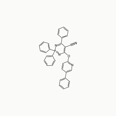 N#CC1=C(Oc2ccc(-c3ccccc3)cn2)N=P(c2ccccc2)(c2ccccc2)N=C1c1ccccc1